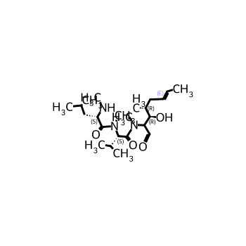 C/C=C/C[C@@H](C)[C@@H](O)C(C=O)N(C)C(=O)[C@H](C(C)C)N(C)C(=O)[C@H](CC(C)C)NC